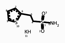 NS(=O)(=O)CCc1cccs1.[KH]